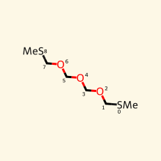 CSCOCOCOCSC